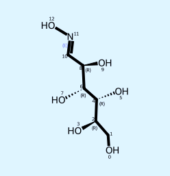 OC[C@@H](O)[C@@H](O)[C@H](O)[C@H](O)/C=N/O